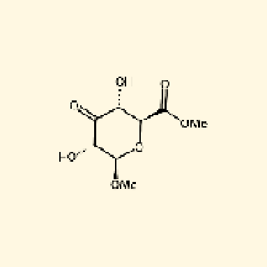 COC(=O)[C@H]1O[C@@H](OC)[C@H](O)C(=O)[C@@H]1O